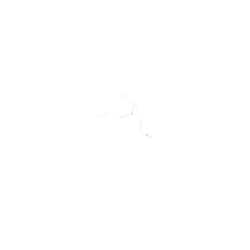 NOCC(CO)COI